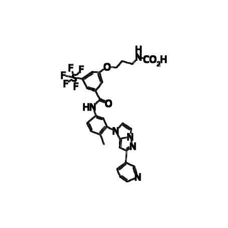 Cc1ccc(NC(=O)c2cc(OCCCNC(=O)O)cc(S(F)(F)(F)(F)F)c2)cc1-n1ccn2nc(-c3cccnc3)cc12